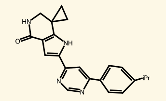 CC(C)c1ccc(-c2cc(-c3cc4c([nH]3)C3(CC3)CNC4=O)ncn2)cc1